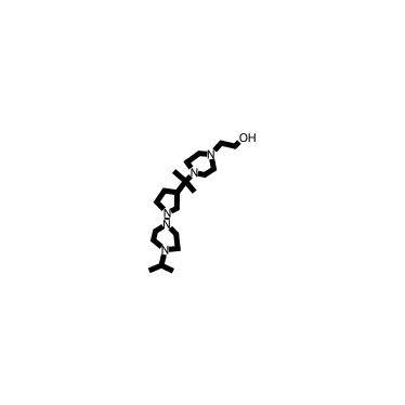 CC(C)N1CCN(N2CCC(C(C)(C)N3CCN(CCO)CC3)C2)CC1